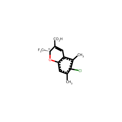 Cc1cc2c(c(C)c1Cl)C=C(C(=O)O)[C@@H](C(F)(F)F)O2